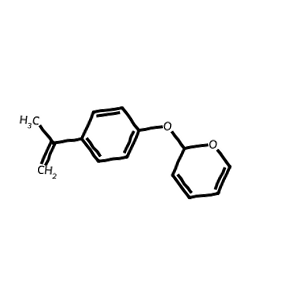 C=C(C)c1ccc(OC2C=CC=CO2)cc1